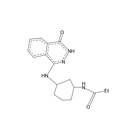 CCC(=O)NC1CCCC(Nc2n[nH]c(=O)c3ccccc23)C1